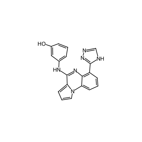 Oc1cccc(Nc2nc3c(-c4nnc[nH]4)cccc3n3cccc23)c1